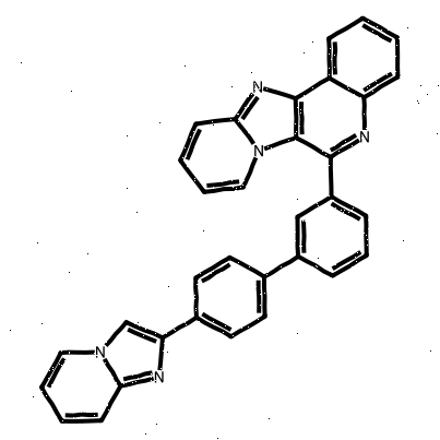 c1cc(-c2ccc(-c3cn4ccccc4n3)cc2)cc(-c2nc3ccccc3c3nc4ccccn4c23)c1